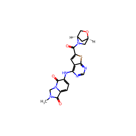 CN1Cn2c(ccc(Nc3ncnc4sc(C(=O)N5C[C@H]6C[C@@H]5CO6)cc34)c2=O)C1=O